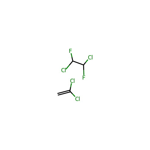 C=C(Cl)Cl.FC(Cl)C(F)Cl